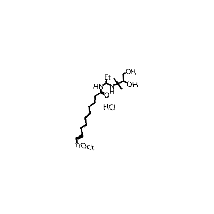 CCCCCCCCC=CCCCCCCCC(=O)NC(CC)NC(C)(C)C(O)CO.Cl